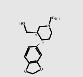 CCCCCN1CC[C@H](c2ccc3c(c2)OCO3)[C@@H](CO)C1